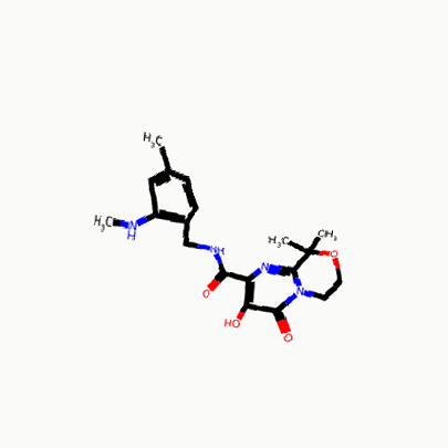 CNc1cc(C)ccc1CNC(=O)c1nc2n(c(=O)c1O)CCOC2(C)C